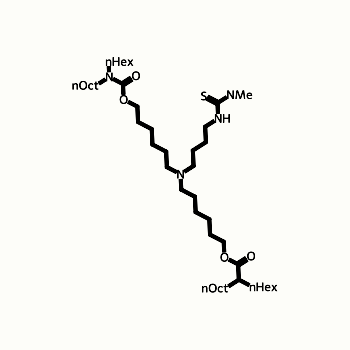 CCCCCCCCC(CCCCCC)C(=O)OCCCCCCN(CCCCCCOC(=O)N(CCCCCC)CCCCCCCC)CCCCNC(=S)NC